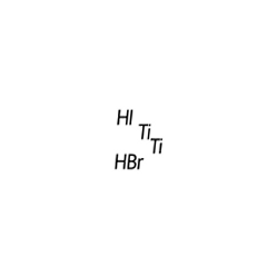 Br.I.[Ti].[Ti]